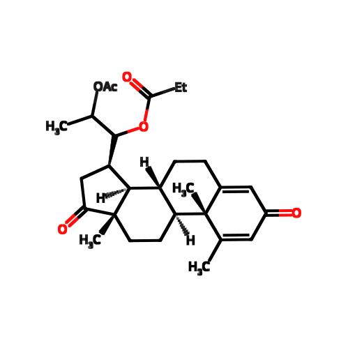 CCC(=O)OC(C(C)OC(C)=O)[C@@H]1CC(=O)[C@@]2(C)CC[C@H]3[C@@H](CCC4=CC(=O)C=C(C)[C@@]43C)[C@H]12